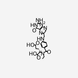 CCN(C(=O)c1ccc(NCc2cnc3nc(N)[nH]c(=O)c3n2)cc1)[C@@H](CCC(=O)O)C(=O)O